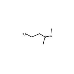 CON(C)CCN